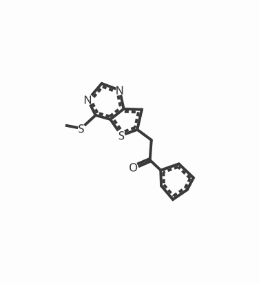 CSc1ncnc2cc(CC(=O)c3ccccc3)sc12